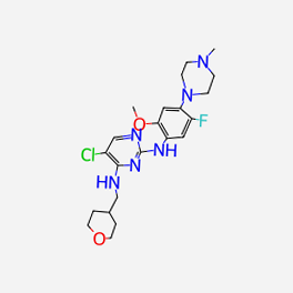 COc1cc(N2CCN(C)CC2)c(F)cc1Nc1ncc(Cl)c(NCC2CCOCC2)n1